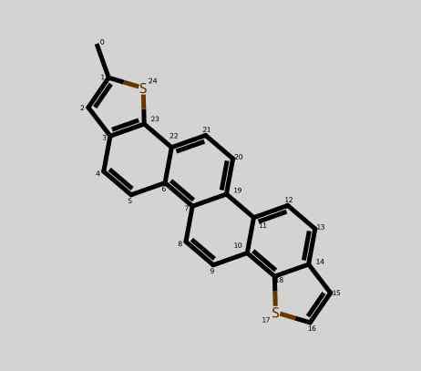 Cc1cc2ccc3c4ccc5c(ccc6ccsc65)c4ccc3c2s1